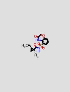 C=C[C@@H]1C[C@]1(C)C(=O)NS(=O)(=O)c1cccc2c1NC(=O)CO2